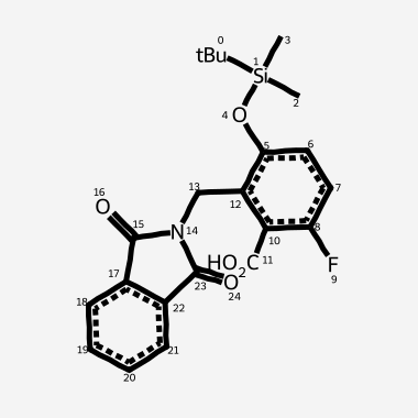 CC(C)(C)[Si](C)(C)Oc1ccc(F)c(C(=O)O)c1CN1C(=O)c2ccccc2C1=O